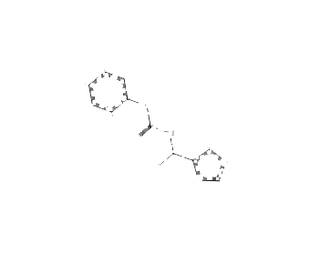 O=C(Cc1ccccc1)NC(Cl)c1cncs1